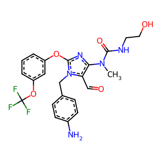 CN(C(=O)NCCO)c1nc(Oc2cccc(OC(F)(F)F)c2)n(Cc2ccc(N)cc2)c1C=O